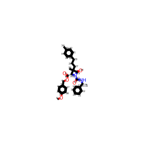 COc1ccc(COC(=O)[C@H]2N(C(=O)N[C@H](C)c3ccccc3)C(=O)C2(C)CCCc2ccc(C)cc2)cc1